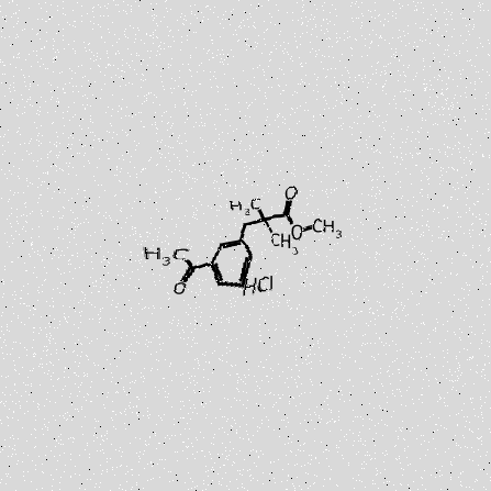 COC(=O)C(C)(C)Cc1cccc(C(C)=O)c1.Cl